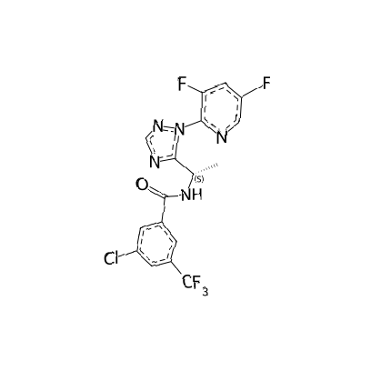 C[C@H](NC(=O)c1cc(Cl)cc(C(F)(F)F)c1)c1ncnn1-c1ncc(F)cc1F